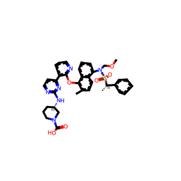 COCN(c1cccc2c(Oc3ncccc3-c3ccnc(N[C@H]4CCCN(C(=O)O)C4)n3)c(C)ccc12)S(=O)(=O)[C@@H](C)c1ccccc1